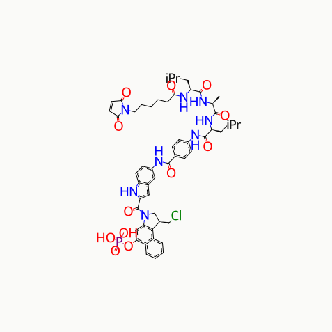 CC(C)C[C@H](NC(=O)CCCCCN1C(=O)C=CC1=O)C(=O)N[C@@H](C)C(=O)N[C@@H](CC(C)C)C(=O)Nc1ccc(C(=O)Nc2ccc3[nH]c(C(=O)N4C[C@@H](CCl)c5c4cc(OP(=O)(O)O)c4ccccc54)cc3c2)cc1